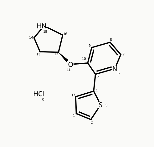 Cl.c1csc(-c2ncccc2O[C@H]2CCNC2)c1